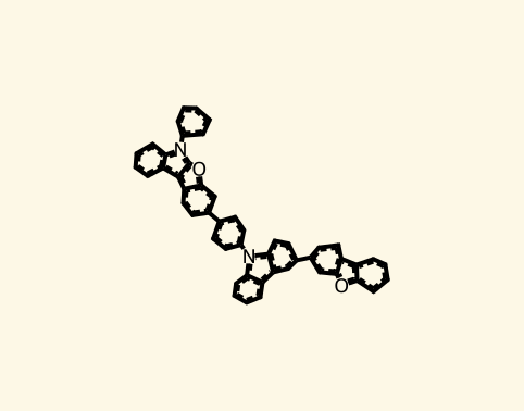 c1ccc(-n2c3ccccc3c3c4ccc(-c5ccc(-n6c7ccccc7c7cc(-c8ccc9c(c8)oc8ccccc89)ccc76)cc5)cc4oc32)cc1